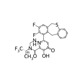 C[C@@H](N1CNn2c(-c3c(F)c(F)cc4c3Cc3ccccc3SC4)cc(=O)c(O)c2C1=O)C(F)(F)F